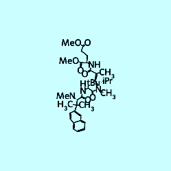 CN[C@H](C(=O)N[C@H](C(=O)N(C)[C@H](/C=C(\C)C(=O)N[C@H](CCC(=O)OC)C(=O)OC)C(C)C)C(C)(C)C)C(C)(C)c1ccc2ccccc2c1